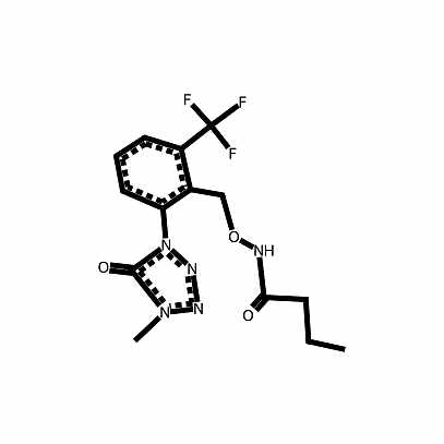 CCCC(=O)NOCc1c(-n2nnn(C)c2=O)cccc1C(F)(F)F